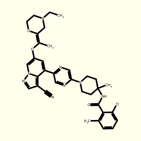 CCN1CCO/C(=C(/C)Oc2cc(-c3cnc(N4CCC(C)(NC(=O)c5c(C)cccc5Cl)CC4)cn3)c3c(C#N)cnn3c2)C1